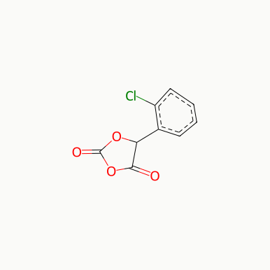 O=C1OC(=O)C(c2ccccc2Cl)O1